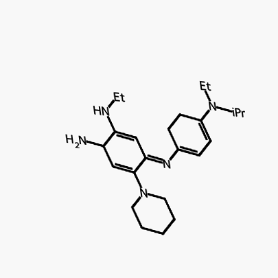 CCNC1=C/C(=N\C2=CC=C(N(CC)C(C)C)CC2)C(N2CCCCC2)=CC1N